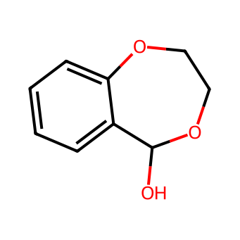 OC1OCCOc2ccccc21